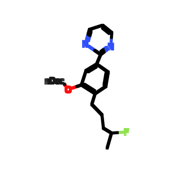 CCCCCCCCCCOc1cc(-c2ncccn2)ccc1CCCC(C)F